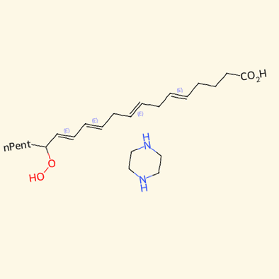 C1CNCCN1.CCCCCC(/C=C/C=C/C/C=C/C/C=C/CCCC(=O)O)OO